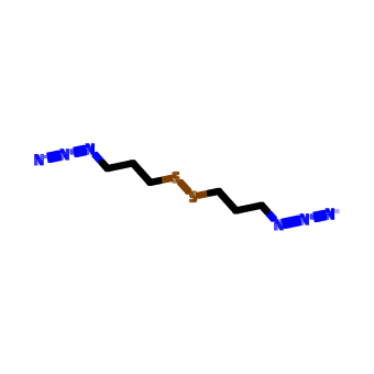 [N-]=[N+]=NCCCSSCCCN=[N+]=[N-]